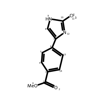 COC(=O)c1ccc(-c2c[nH]c(C(F)(F)F)n2)cc1